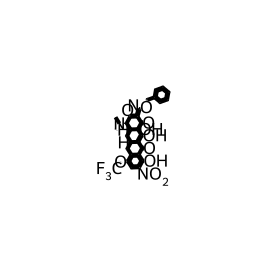 CN(C)[C@@H]1c2onc(OCc3ccccc3)c2C(=O)[C@@]2(O)C(O)=C3C(=O)c4c(O)c([N+](=O)[O-])cc(OC(F)(F)F)c4C[C@H]3C[C@@H]12